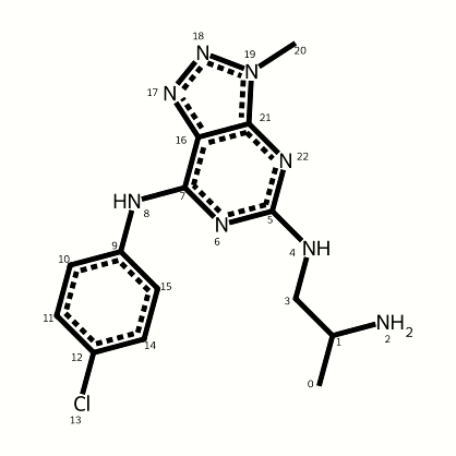 CC(N)CNc1nc(Nc2ccc(Cl)cc2)c2nnn(C)c2n1